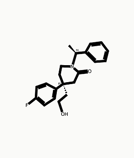 C[C@@H](c1ccccc1)N1CC[C@](CCO)(c2ccc(F)cc2)CC1=O